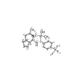 Cc1cc(N[C@@H](c2ccc(C(F)(F)F)cc2)C(C)(C)O)n2ncnc2c1